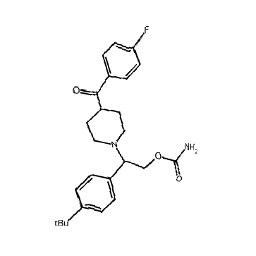 CC(C)(C)c1ccc(C(COC(N)=O)N2CCC(C(=O)c3ccc(F)cc3)CC2)cc1